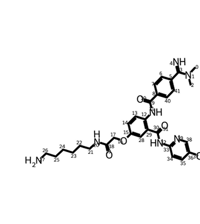 CN(C)C(=N)c1ccc(C(=O)Nc2ccc(OCC(=O)NCCCCCCN)cc2C(=O)Nc2ccc(Cl)cn2)cc1